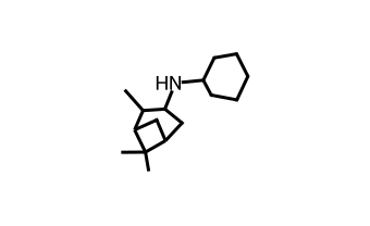 CC1C(NC2CCCCC2)CC2CC1C2(C)C